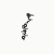 CCN(CCCOc1ccc2c(Nc3cc(CC(=O)Nc4cccc(F)c4)[nH]n3)ncnc2c1)CCOP(=O)(OC(C)(C)C)OC(C)(C)C